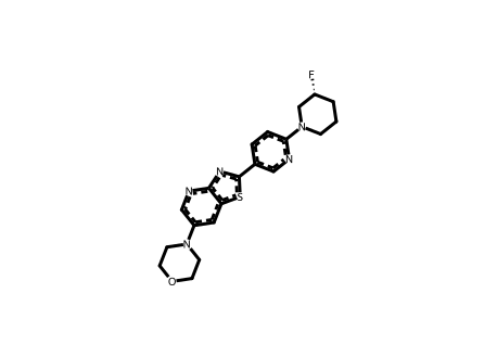 F[C@@H]1CCCN(c2ccc(-c3nc4ncc(N5CCOCC5)cc4s3)cn2)C1